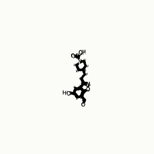 O=Cc1cc(O)cc2c(CCC3CCN(C(=O)O)CC3)noc12